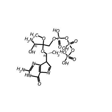 COC(COP(=O)(O)OP(=O)(O)OP(=O)(O)O)(O[C@H](C)C1C=Nc2c1nc(N)[nH]c2=O)[C@H](N)O